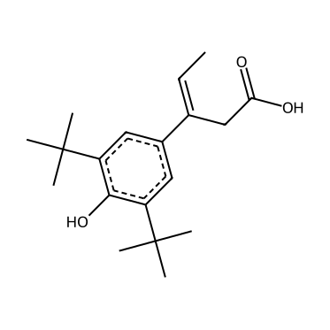 CC=C(CC(=O)O)c1cc(C(C)(C)C)c(O)c(C(C)(C)C)c1